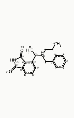 CCC[SiH](Cc1ccccc1)C(C)c1cccc2c1C(=O)NC2=O